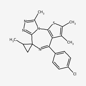 Cc1sc2c(c1C)C(c1ccc(Cl)cc1)=NC1(CC1C)c1nnc(C)n1-2